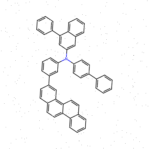 c1ccc(-c2ccc(N(c3cccc(-c4ccc5ccc6c7ccccc7ccc6c5c4)c3)c3cc(-c4ccccc4)c4ccccc4c3)cc2)cc1